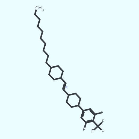 CCCCCCCCCCC1CCC(/C=C/C2CCC(c3cc(F)c(C(F)(F)F)c(F)c3)CC2)CC1